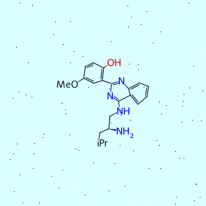 COc1ccc(O)c(-c2nc(NC[C@@H](N)CC(C)C)c3ccccc3n2)c1